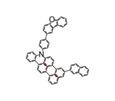 c1ccc(-c2ccc(-c3ccccc3N(c3ccc(-c4cccc(-c5ccc6ccccc6c5)c4)cc3)c3ccc(-c4ccc5oc6ccccc6c5c4)cc3)cc2)cc1